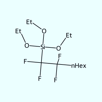 CCCCCCC(F)(F)C(F)(F)[Si](OCC)(OCC)OCC